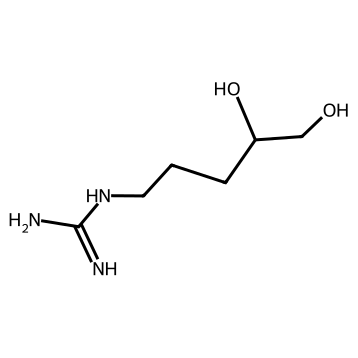 N=C(N)NCCCC(O)CO